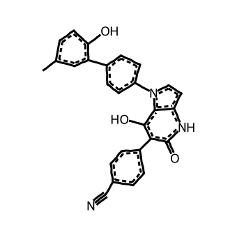 Cc1ccc(O)c(-c2ccc(-n3ccc4[nH]c(=O)c(-c5ccc(C#N)cc5)c(O)c43)cc2)c1